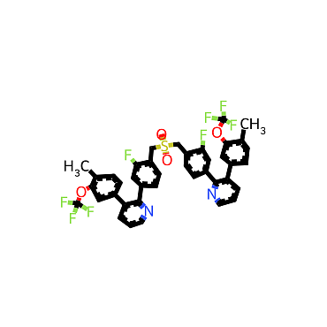 Cc1ccc(-c2cccnc2-c2ccc(CS(=O)(=O)Cc3ccc(-c4ncccc4-c4ccc(C)c(OC(F)(F)F)c4)cc3F)c(F)c2)cc1OC(F)(F)F